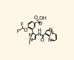 O=C(Nc1cn(I)nc1-c1cc(S(=O)(=O)O)ccc1OC(F)F)c1cnn2cccnc12